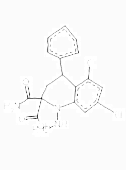 CNN1c2cc(Cl)cc(Cl)c2C(c2ccccc2)CC1(C(N)=O)C(=O)O